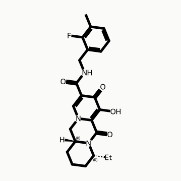 CC[C@@H]1CCC[C@@H]2Cn3cc(C(=O)NCc4cccc(C)c4F)c(=O)c(O)c3C(=O)N12